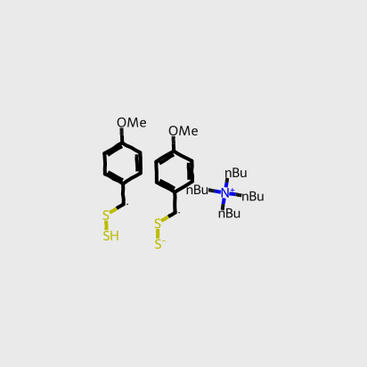 CCCC[N+](CCCC)(CCCC)CCCC.COc1ccc([CH]SS)cc1.COc1ccc([CH]S[S-])cc1